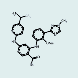 CCC(=O)c1cnc(Nc2ccc(C(N)C(F)(F)F)cn2)cc1Nc1cccc(-c2ncn(C)n2)c1OC